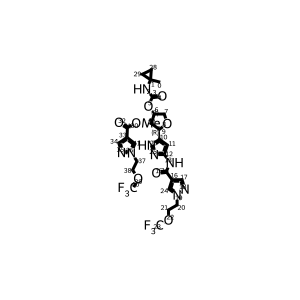 CC1(NC(=O)O[C@H]2CO[C@@H](c3cc(NC(=O)c4cnn(CCOC(F)(F)F)c4)n[nH]3)C2)CC1.COC(=O)c1cnn(CCOC(F)(F)F)c1